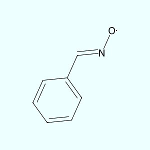 [O]N=Cc1ccccc1